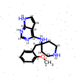 COc1ccccc1CC1(Nc2ncnc3[nH]ccc23)CCNCC1